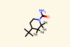 [2H]C1([2H])C(C(C)(C)C)CCN(C(N)=O)C1([2H])[2H]